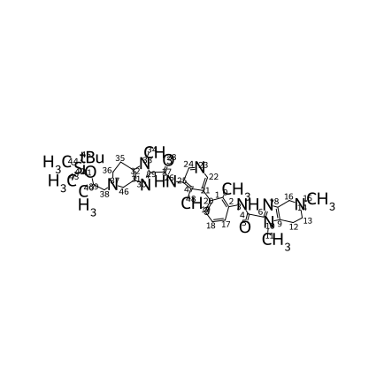 Cc1c(NC(=O)c2nc3c(n2C)CCN(C)C3)cccc1-c1cncc(NC(=O)c2nc3c(n2C)CCN(C[C@H](C)O[Si](C)(C)C(C)(C)C)C3)c1C